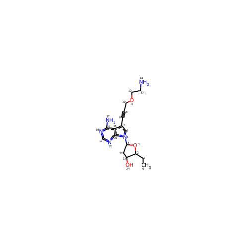 CCC1OC(n2cc(C#CCOCCN)c3c(N)ncnc32)CC1O